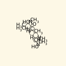 CN(O)C(=O)[C@]12CCC(C)(C)C[C@H]1C1=CC[C@@H]3[C@@]4(C)CC/C(=N\O)C(C)(C)[C@@H]4CC[C@@]3(C)[C@]1(C)CC2